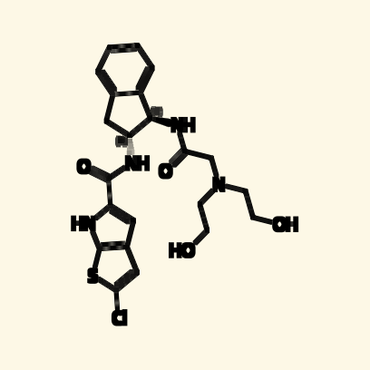 O=C(CN(CCO)CCO)N[C@@H]1c2ccccc2C[C@H]1NC(=O)c1cc2cc(Cl)sc2[nH]1